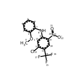 COc1ccccc1Nc1cc(Cl)c(C(F)(F)F)cc1[N+](=O)[O-]